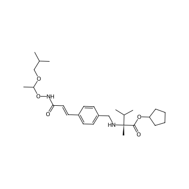 CC(C)COC(C)ONC(=O)/C=C/c1ccc(CN[C@@](C)(C(=O)OC2CCCC2)C(C)C)cc1